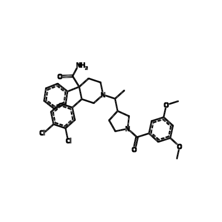 COc1cc(OC)cc(C(=O)N2CCC(C(C)N3CCC(C(N)=O)(c4ccccc4)C(c4ccc(Cl)c(Cl)c4)C3)C2)c1